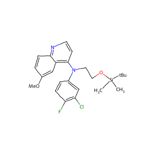 COc1ccc2nccc(N(CCO[Si](C)(C)C(C)(C)C)c3ccc(F)c(Cl)c3)c2c1